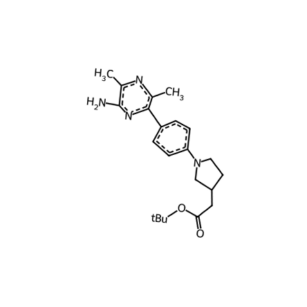 Cc1nc(C)c(-c2ccc(N3CCC(CC(=O)OC(C)(C)C)C3)cc2)nc1N